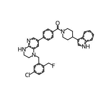 O=C(c1ccc(-c2cnc3c(c2)N(Cc2cc(Cl)ccc2CF)CCN3)cc1)N1CCC(c2c[nH]c3ccccc23)CC1